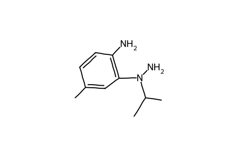 Cc1ccc(N)c(N(N)C(C)C)c1